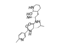 Cc1ccc(C(=O)N[C@@H](CC(C)C)C(=O)N[C@H](C#N)C[C@@H]2CCCNC2O)cn1